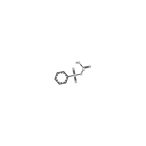 O=[PH](O)OS(=O)(=O)c1ccccc1